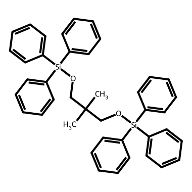 CC(C)(CO[Si](c1ccccc1)(c1ccccc1)c1ccccc1)CO[Si](c1ccccc1)(c1ccccc1)c1ccccc1